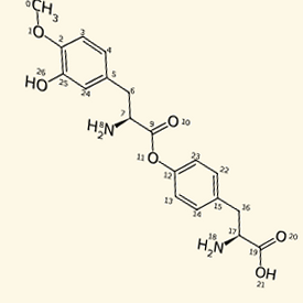 COc1ccc(C[C@H](N)C(=O)Oc2ccc(C[C@H](N)C(=O)O)cc2)cc1O